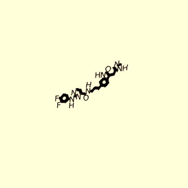 O=C1Nc2cc(C=CCNC(=O)c3ccnc(Nc4ccc(F)c(F)c4)n3)ccc2C1=Cc1cnc[nH]1